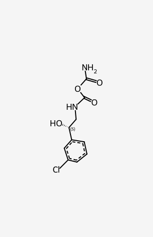 NC(=O)OC(=O)NC[C@@H](O)c1cccc(Cl)c1